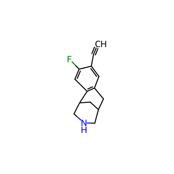 C#Cc1cc2c(cc1F)C1CNCC(C2)C1